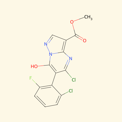 COC(=O)c1cnn2c(O)c(-c3c(F)cccc3Cl)c(Cl)nc12